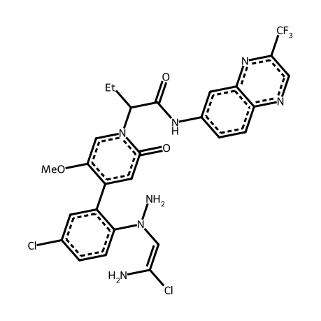 CCC(C(=O)Nc1ccc2ncc(C(F)(F)F)nc2c1)n1cc(OC)c(-c2cc(Cl)ccc2N(N)/C=C(\N)Cl)cc1=O